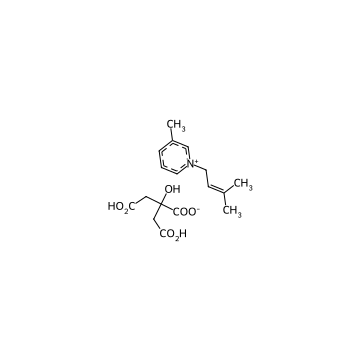 CC(C)=CC[n+]1cccc(C)c1.O=C(O)CC(O)(CC(=O)O)C(=O)[O-]